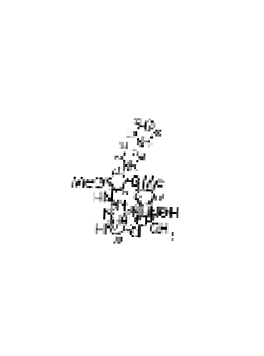 COc1cc(N2CCC(N3CCOCC3)CC2)c(OC)cc1Nc1nc(Nc2ccccc2N(O)P(C)C)c2c(Cl)c[nH]c2n1